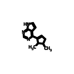 CC1CC=C(c2ncnc3[nH]ccc23)C1C